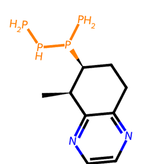 C[C@@H]1c2nccnc2CC[C@@H]1P(P)PP